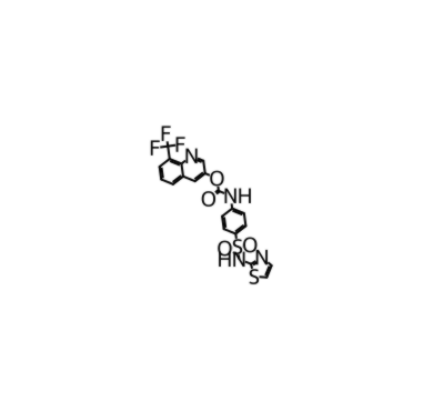 O=C(Nc1ccc(S(=O)(=O)Nc2nccs2)cc1)Oc1cnc2c(C(F)(F)F)cccc2c1